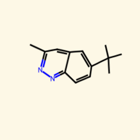 Cc1cc2cc(C(C)(C)C)ccc2nn1